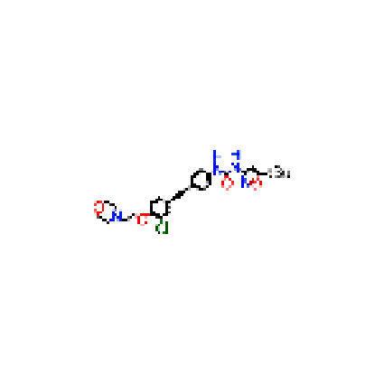 CC(C)(C)c1cc(NC(=O)Nc2ccc(C#Cc3ccc(OCCN4CCOCC4)c(Cl)c3)cc2)no1